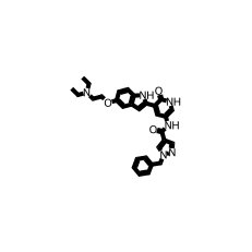 CCN(CC)CCOc1ccc2[nH]c(-c3cc(NC(=O)c4cnn(Cc5ccccc5)c4)c[nH]c3=O)cc2c1